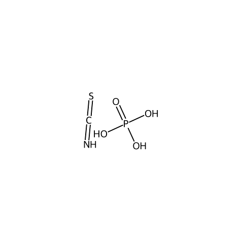 N=C=S.O=P(O)(O)O